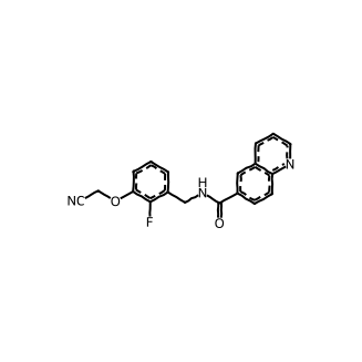 N#CCOc1cccc(CNC(=O)c2ccc3ncccc3c2)c1F